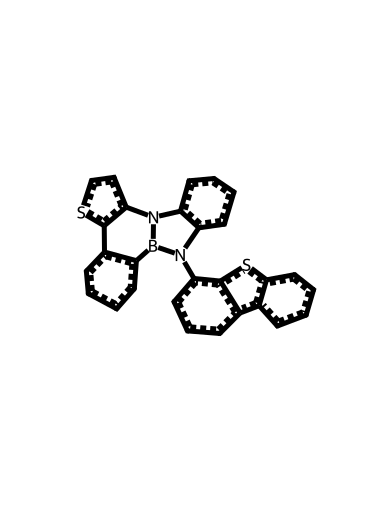 c1ccc2c(c1)B1N(c3ccccc3N1c1cccc3c1sc1ccccc13)c1ccsc1-2